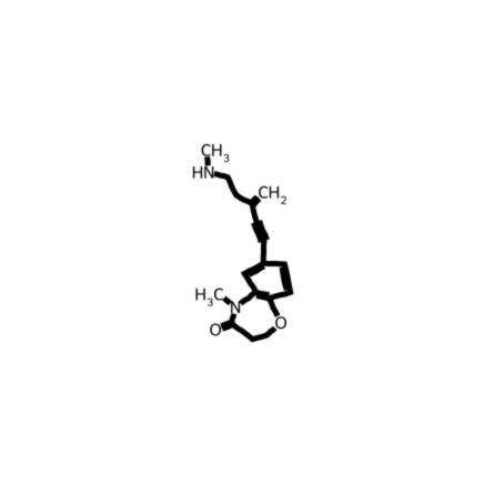 C=C(C#Cc1ccc2c(c1)N(C)C(=O)CCO2)CCNC